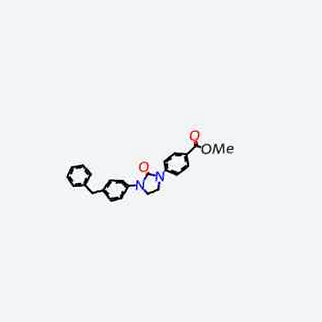 COC(=O)c1ccc(N2CCN(c3ccc(Cc4ccccc4)cc3)C2=O)cc1